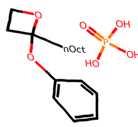 CCCCCCCCC1(Oc2ccccc2)CCO1.O=P(O)(O)O